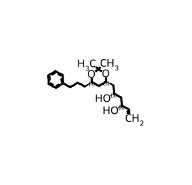 C=C[C@H](O)C[C@H](O)C[C@H]1C[C@@H](CCCc2ccccc2)OC(C)(C)O1